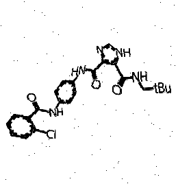 CC(C)(C)CNC(=O)c1[nH]cnc1C(=O)Nc1ccc(NC(=O)c2ccccc2Cl)cc1